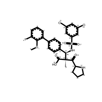 COc1c(F)cccc1-c1ccc([C@@H](NS(=O)(=O)c2cc(Cl)cc(Cl)c2)[C@](C)(C(=O)O)C(=O)C2CCCN2)cc1